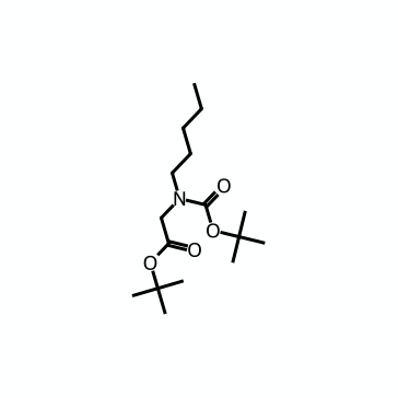 CCCCCN(CC(=O)OC(C)(C)C)C(=O)OC(C)(C)C